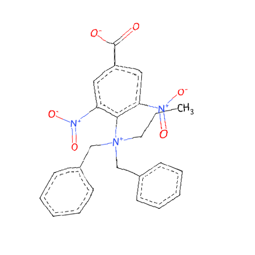 CCC[N+](Cc1ccccc1)(Cc1ccccc1)c1c([N+](=O)[O-])cc(C(=O)[O-])cc1[N+](=O)[O-]